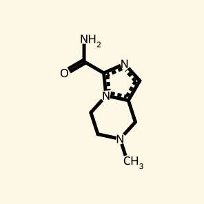 CN1CCn2c(cnc2C(N)=O)C1